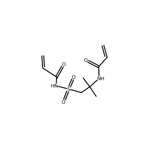 C=CC(=O)NC(C)(C)CS(=O)(=O)NC(=O)C=C